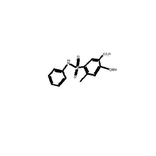 COc1cc(C)c(S(=O)(=O)Nc2ccccc2)cc1C(=O)O